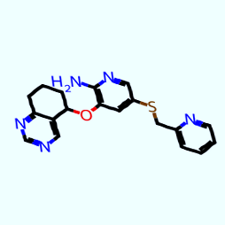 Nc1ncc(SCc2ccccn2)cc1OC1CCCc2ncncc21